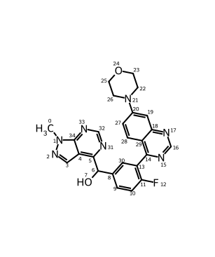 Cn1ncc2c(C(O)c3ccc(F)c(-c4ncnc5cc(N6CCOCC6)ccc45)c3)ncnc21